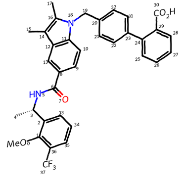 COc1c([C@H](C)NC(=O)c2ccc3c(c2)c(C)c(C)n3Cc2ccc(-c3ccccc3C(=O)O)cc2)cccc1C(F)(F)F